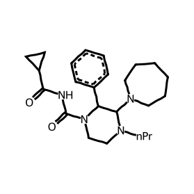 CCCN1CCN(C(=O)NC(=O)C2CC2)C(c2ccccc2)C1N1CCCCCC1